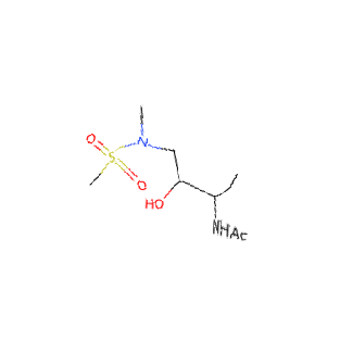 CC(=O)NC(C)C(O)CN(C)S(C)(=O)=O